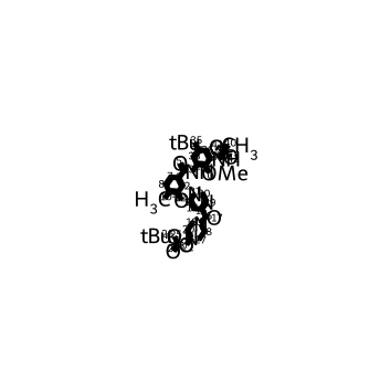 COc1c(NC(=O)c2ccc(C)c(Oc3cc(C(=O)N4CCN(OC(=O)OC(C)(C)C)CC4)ncn3)c2)cc(C(C)(C)C)cc1NS(C)(=O)=O